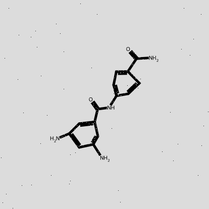 NC(=O)c1ccc(NC(=O)c2cc(N)cc(N)c2)cc1